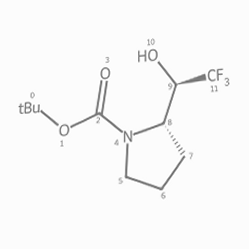 CC(C)(C)OC(=O)N1CCC[C@H]1[C@@H](O)C(F)(F)F